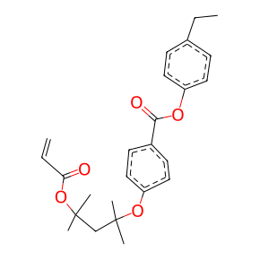 C=CC(=O)OC(C)(C)CC(C)(C)Oc1ccc(C(=O)Oc2ccc(CC)cc2)cc1